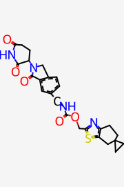 O=C1CCC(N2Cc3ccc(CNC(=O)OCc4nc5c(s4)CC4(CC5)CC4)cc3C2=O)C(=O)N1